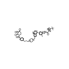 Cc1cc(-c2ncnn3cc(CN4CCN(CCCc5ccc(NC6CCC(=O)NC6=O)cc5)CC4)cc23)ccc1CNC(=O)c1noc(C(C)(C)C)n1